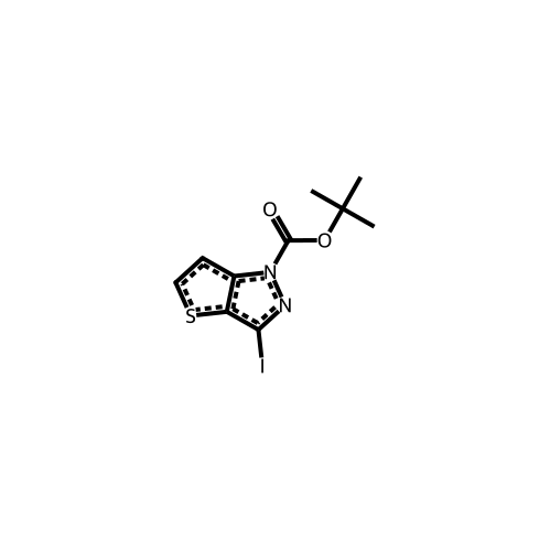 CC(C)(C)OC(=O)n1nc(I)c2sccc21